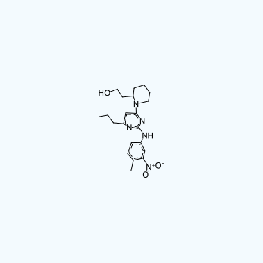 CCCc1cc(N2CCCCC2CCO)nc(Nc2ccc(C)c([N+](=O)[O-])c2)n1